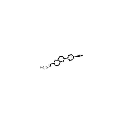 CC#Cc1ccc(-c2ccc3cc(/C=C/C(=O)O)ccc3c2)cc1